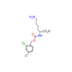 NCCCCC(NC(=O)OCc1ccc(Cl)cc1Cl)C(=O)O